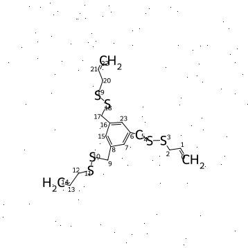 C=CCSSCc1cc(CSSCC=C)cc(CSSCC=C)c1